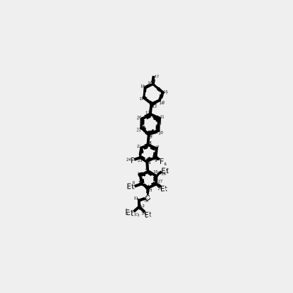 CCc1cc(-c2c(F)cc(-c3ccc(C4CCC(C)CC4)cc3)cc2F)c(CC)c(CC)c1OCC(CC)CC